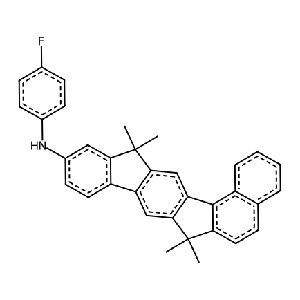 CC1(C)c2cc(Nc3ccc(F)cc3)ccc2-c2cc3c(cc21)-c1c(ccc2ccccc12)C3(C)C